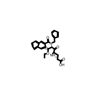 CCOC(=O)[C@@H](C(=O)C(N)CCC(=O)O)N(Cc1ccccc1)C(=O)c1ccc2ccccc2c1